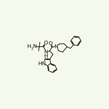 CC(C)(N)C(=O)NC(Cc1c[nH]c2ccccc12)C(=O)N1CCC(Cc2ccccc2)CC1